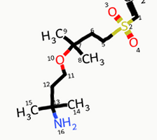 C=CS(=O)(=O)CCC(C)(C)OCCC(C)(C)N